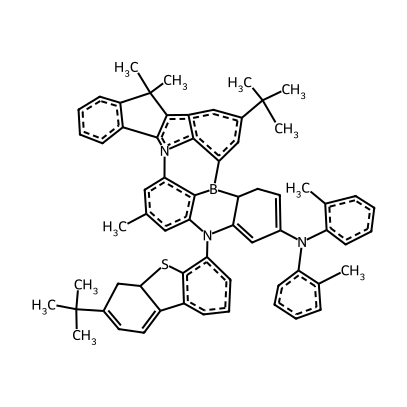 Cc1cc2c3c(c1)-n1c4c(c5cc(C(C)(C)C)cc(c51)B3C1CC=C(N(c3ccccc3C)c3ccccc3C)C=C1N2c1cccc2c1SC1CC(C(C)(C)C)=CC=C21)C(C)(C)c1ccccc1-4